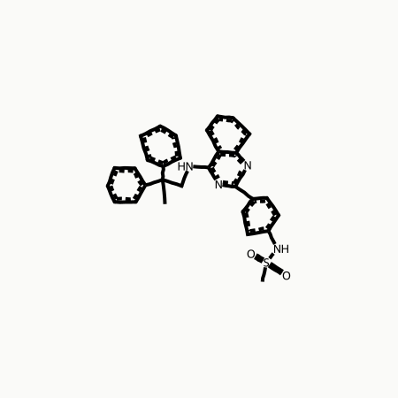 CC(CNc1nc(-c2ccc(NS(C)(=O)=O)cc2)nc2ccccc12)(c1ccccc1)c1ccccc1